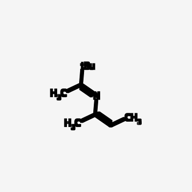 C/C=C(C)\N=C(/C)C(C)(C)C